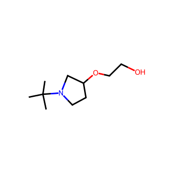 CC(C)(C)N1CCC(OCCO)C1